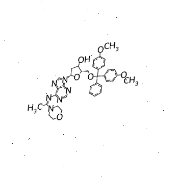 COc1ccc(C(OC[C@H]2O[C@@H](n3cnc4c(/N=C(/C)N5CCOCC5)ncnc43)CC2O)(c2ccccc2)c2ccc(OC)cc2)cc1